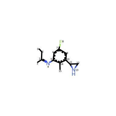 CC/C(C)=N\c1cc(F)cc(C2CN2)c1C